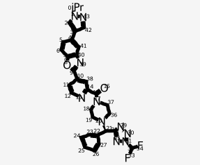 CC(C)n1cc(-c2ccc3oc(-c4ccnc(C(=O)N5CCN([C@H](c6ccccc6)c6nnn(C(F)F)n6)CC5)c4)nc3c2)cn1